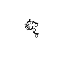 CC(C[Si](C)(C)O[Si](C)(C)CC(C)OCC1CO1)OCC1CO1